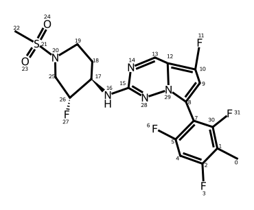 Cc1c(F)cc(F)c(-c2cc(F)c3cnc(N[C@@H]4CCN(S(C)(=O)=O)C[C@H]4F)nn23)c1F